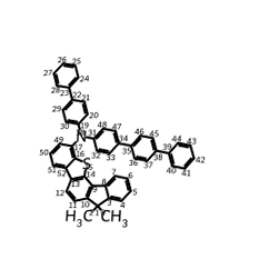 CC1(C)c2ccccc2-c2c1ccc1c2sc2c(N(c3ccc(-c4ccccc4)cc3)c3ccc(-c4ccc(-c5ccccc5)cc4)cc3)cccc21